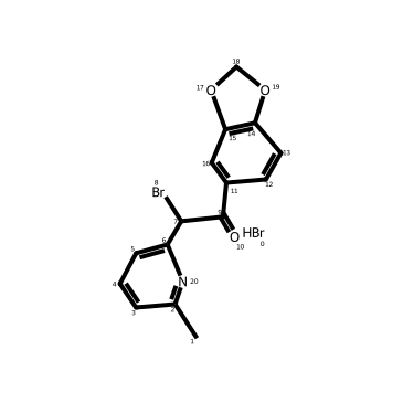 Br.Cc1cccc(C(Br)C(=O)c2ccc3c(c2)OCO3)n1